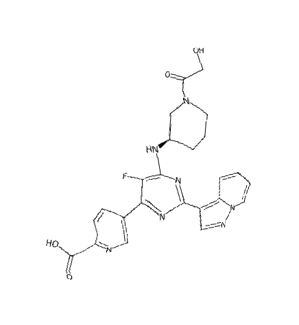 O=C(O)c1ccc(-c2nc(-c3cnn4ccccc34)nc(N[C@@H]3CCCN(C(=O)CO)C3)c2F)cn1